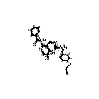 CCOC1CCC(Nc2ncc3c(NC(=O)c4ccccc4)ncc(I)c3n2)CC1